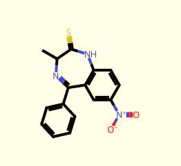 CC1N=C(c2ccccc2)c2cc([N+](=O)[O-])ccc2NC1=S